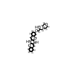 O=c1[nH]c(=Cc2ccc(OCC(O)CN3CCOCC3)cc2)c(=O)[nH]c1=Cc1ccccc1